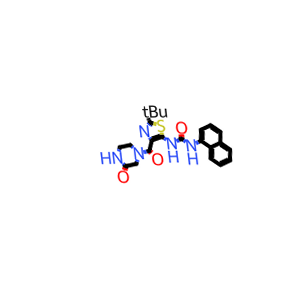 CC(C)(C)c1nc(C(=O)N2CCNC(=O)C2)c(NC(=O)Nc2cccc3ccccc23)s1